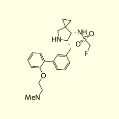 CNCCOc1ccccc1-c1cccc(C[C@@H]2NCC3(CC3)[C@@H]2NS(=O)(=O)CF)c1